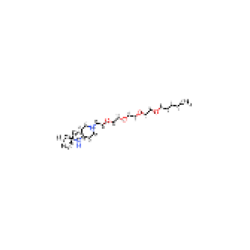 CCCCCOCCOCCOCCOCCN1CCC(NC(C)(C)C)CC1